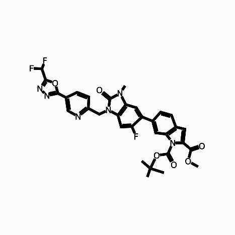 COC(=O)c1cc2ccc(-c3cc4c(cc3F)n(Cc3ccc(-c5nnc(C(F)F)o5)cn3)c(=O)n4C)cc2n1C(=O)OC(C)(C)C